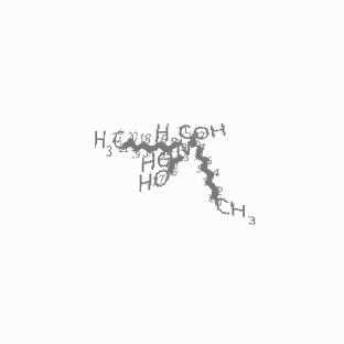 CCCCCCCCC[C@H](C(C)O)N(CCCCCCCCC)C[C@@H](O)CO